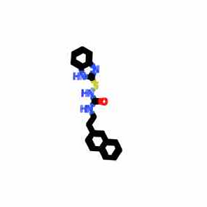 O=C(NCCc1ccc2ccccc2c1)NSc1nc2ccccc2[nH]1